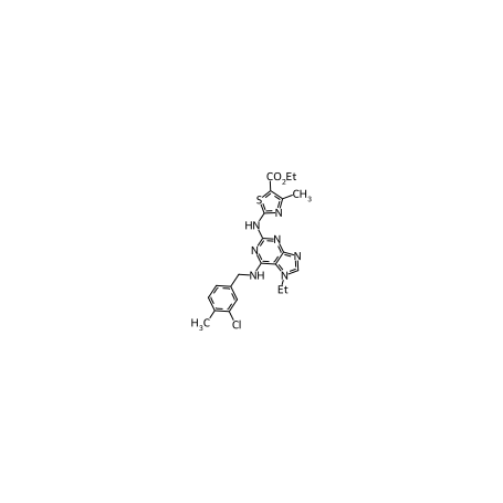 CCOC(=O)c1sc(Nc2nc(NCc3ccc(C)c(Cl)c3)c3c(ncn3CC)n2)nc1C